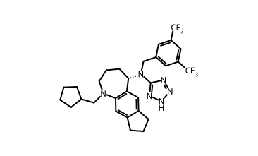 FC(F)(F)c1cc(CN(c2nn[nH]n2)[C@H]2CCCN(CC3CCCC3)c3cc4c(cc32)CCC4)cc(C(F)(F)F)c1